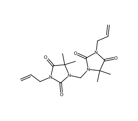 C=CCN1C(=O)N(CN2C(=O)N(CC=C)C(=O)C2(C)C)C(C)(C)C1=O